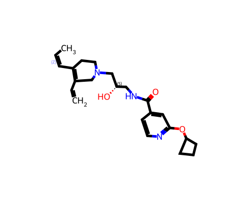 C=CC1=C(/C=C\C)CCN(C[C@@H](O)CNC(=O)c2ccnc(OC3CCC3)c2)C1